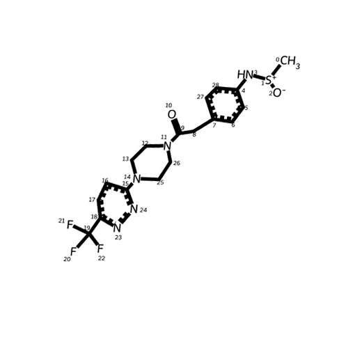 C[S+]([O-])Nc1ccc(CC(=O)N2CCN(c3ccc(C(F)(F)F)nn3)CC2)cc1